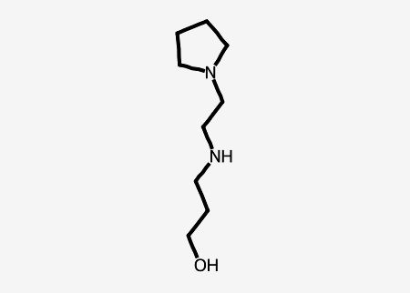 OCCCNCCN1CCCC1